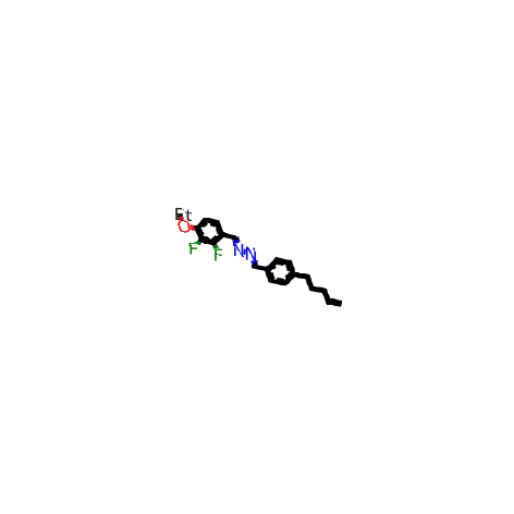 C=CCCCc1ccc(C=NN=Cc2ccc(OCC)c(F)c2F)cc1